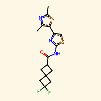 Cc1nc(C)c(-c2csc(NC(=O)C3CC4(C3)CC(F)(F)C4)n2)s1